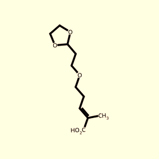 CC(=CCCOCCC1OCCO1)C(=O)O